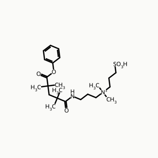 CC(C)(CC(C)(C)C(=O)Oc1ccccc1)C(=O)NCCC[N+](C)(C)CCCS(=O)(=O)O